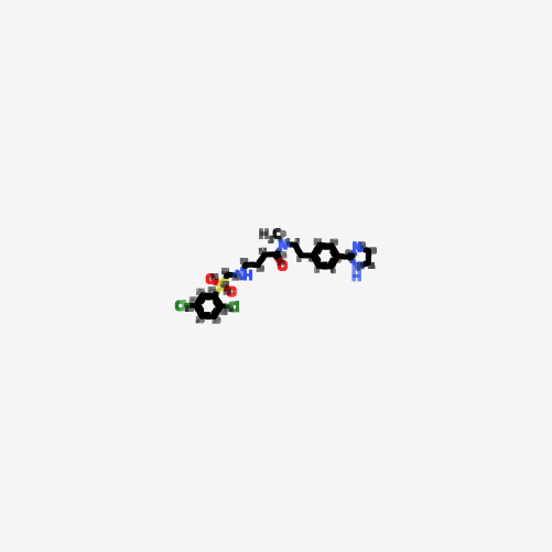 CN(CCc1ccc(C2=NCCN2)cc1)C(=O)CCCNCS(=O)(=O)c1cc(Cl)ccc1Cl